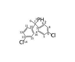 CC(P)(c1ccc(Cl)cc1)c1ccc(Cl)cc1